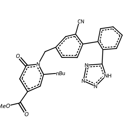 CCCCc1cc(C(=O)OC)cc(=O)n1Cc1ccc(-c2ccccc2-c2nnn[nH]2)c(C#N)c1